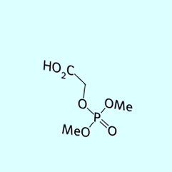 COP(=O)(OC)OCC(=O)O